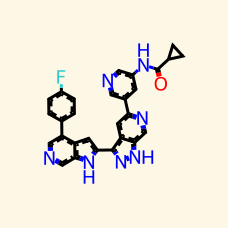 O=C(Nc1cncc(-c2cc3c(-c4cc5c(-c6ccc(F)cc6)cncc5[nH]4)n[nH]c3cn2)c1)C1CC1